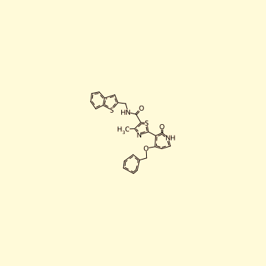 Cc1nc(-c2c(OCc3ccccc3)cc[nH]c2=O)sc1C(=O)NCc1cc2ccccc2s1